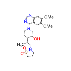 COc1cc2ncnc(N3CCC(C(C)CN4CCCS4(=O)=O)C(O)C3)c2cc1OC